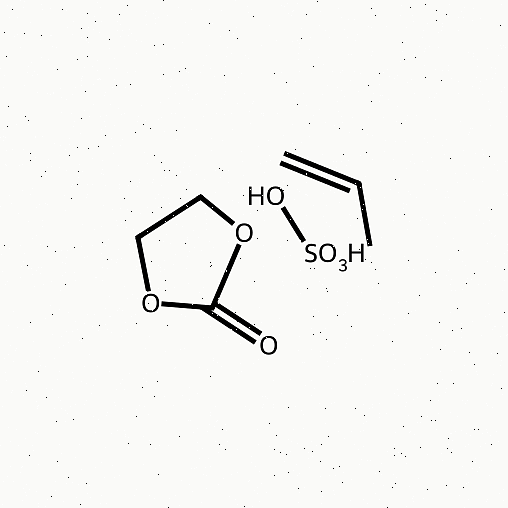 C=CC.O=C1OCCO1.O=S(=O)(O)O